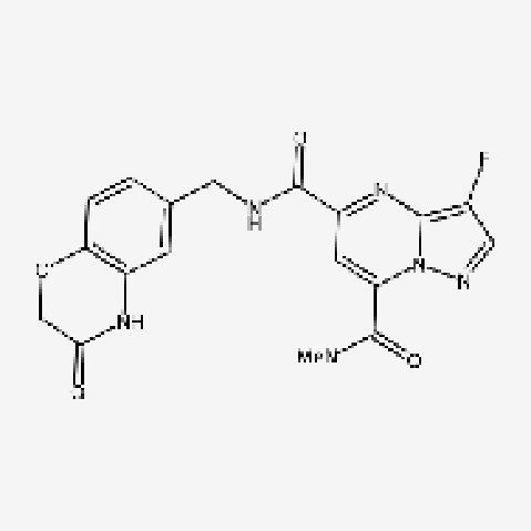 CNC(=O)c1cc(C(=O)NCc2ccc3c(c2)NC(=O)CO3)nc2c(F)cnn12